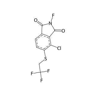 O=C1c2ccc(SCC(F)(F)F)c(Cl)c2C(=O)N1F